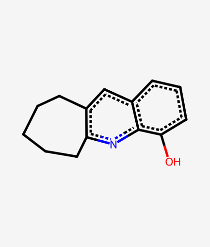 Oc1cccc2cc3c(nc12)CCCCC3